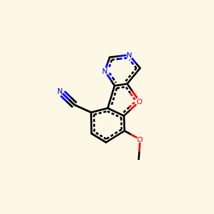 COc1ccc(C#N)c2c1oc1cncnc12